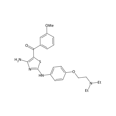 CCN(CC)CCOc1ccc(Nc2nc(N)c(C(=O)c3cccc(OC)c3)s2)cc1